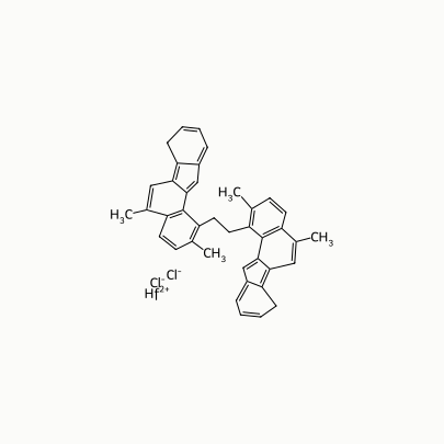 Cc1ccc2c(C)cc3c(c2c1CCc1c(C)ccc2c(C)cc4c(c12)=CC1=CC=CCC=41)=CC1=CC=CCC=31.[Cl-].[Cl-].[Hf+2]